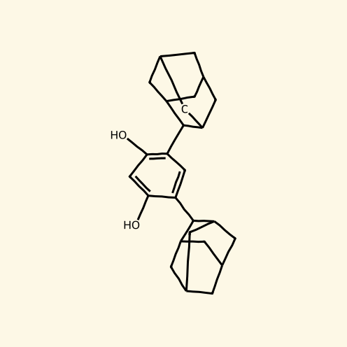 Oc1cc(O)c(C2C3CC4CC(C3)CC2C4)cc1C1C2CC3CC(C2)CC1C3